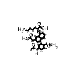 CC(=O)Nc1ccc(C=O)cc1.N.NCCCC[C@H](N)C(=O)O.O=C(O)Cc1ccc2ccccc2c1